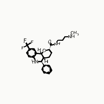 CNCCCNC(=O)[C@@H]1CC[C@@H]2[C@@H](c3ccccc3)Nc3ccc(C(F)(F)F)cc3[C@@H]2O1